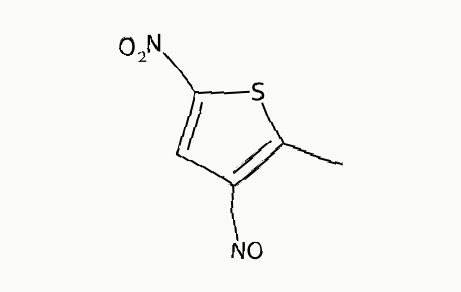 Cc1sc([N+](=O)[O-])cc1N=O